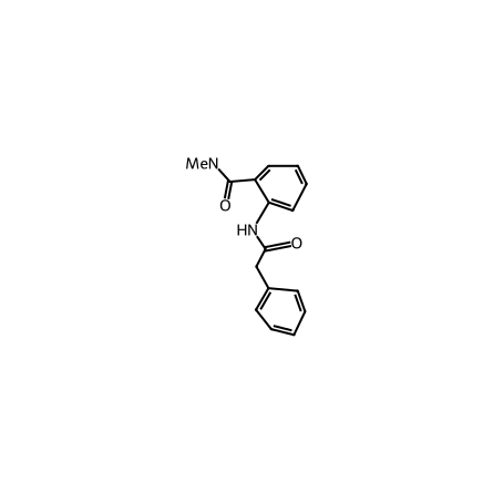 CNC(=O)c1ccccc1NC(=O)Cc1ccccc1